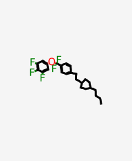 CCCCC1CCC(CCc2ccc(C(F)(F)Oc3cc(F)c(F)c(F)c3)cc2)CC1